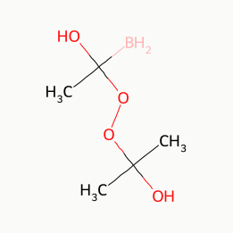 BC(C)(O)OOC(C)(C)O